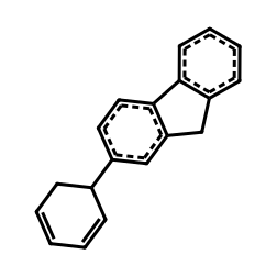 C1=CCC(c2ccc3c(c2)Cc2ccccc2-3)C=C1